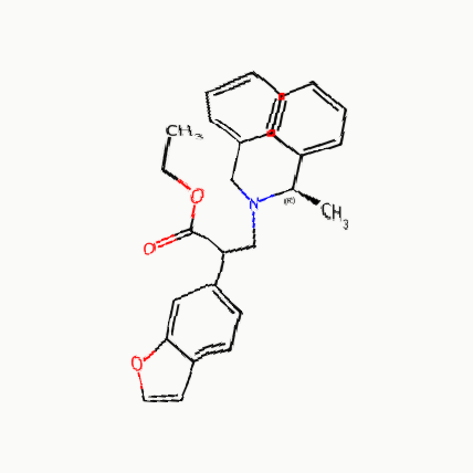 CCOC(=O)C(CN(Cc1ccccc1)[C@H](C)c1ccccc1)c1ccc2ccoc2c1